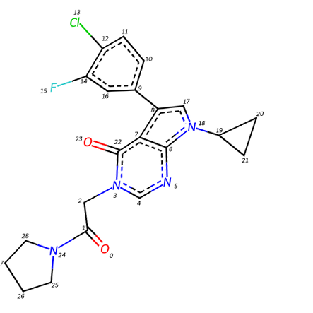 O=C(Cn1cnc2c(c(-c3ccc(Cl)c(F)c3)cn2C2CC2)c1=O)N1CCCC1